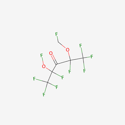 O=C(C(F)(OF)C(F)(F)F)C(F)(OCF)C(F)(F)F